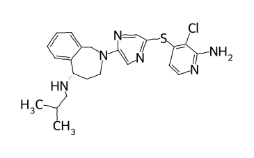 CC(C)CN[C@H]1CCN(c2cnc(Sc3ccnc(N)c3Cl)cn2)Cc2ccccc21